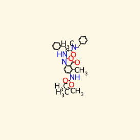 Cc1c(NC(=O)OC(C)(C)C)ccc2nc(N[C@@H](Cc3ccccc3)C(=O)N(C)Cc3ccccc3)oc(=O)c12